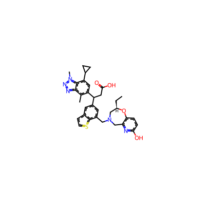 CC[C@@H]1CN(Cc2cc(C(CC(=O)O)c3cc(C4CC4)c4c(nnn4C)c3C)cc3ccsc23)Cc2nc(O)ccc2O1